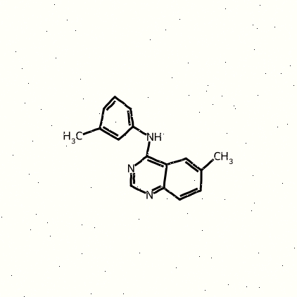 Cc1cccc(Nc2ncnc3ccc(C)cc23)c1